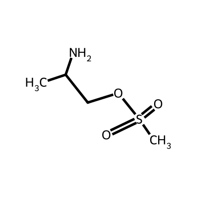 CC(N)COS(C)(=O)=O